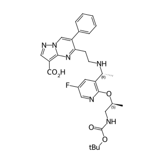 C[C@@H](CNC(=O)OC(C)(C)C)Oc1ncc(F)cc1[C@@H](C)NCCc1nc2c(C(=O)O)cnn2cc1-c1ccccc1